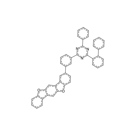 c1ccc(-c2nc(-c3cccc(-c4ccc5oc6cc7c(cc6c5c4)oc4ccccc47)c3)nc(-c3ccccc3-c3ccccc3)n2)cc1